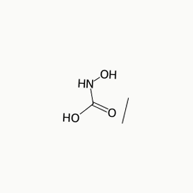 CC.O=C(O)NO